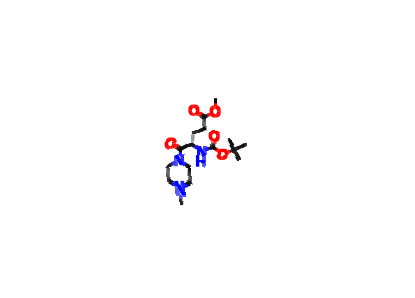 COC(=O)CC[C@H](NC(=O)OC(C)(C)C)C(=O)N1CCN(C)CC1